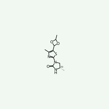 Cc1nc(N2C[C@H](C)NC2=O)sc1C1OC(C)O1